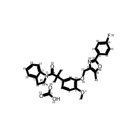 COc1ccc(C(C)(C)C(=O)N2c3ccccc3C[C@H]2OC(=O)O)cc1OCc1nc(-c2ccc(F)cc2)oc1C